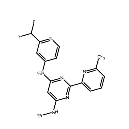 CC(C)Nc1cc(Nc2ccnc(C(F)F)c2)nc(-c2cccc(C(F)(F)F)n2)n1